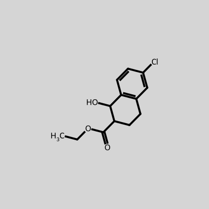 CCOC(=O)C1CCc2cc(Cl)ccc2C1O